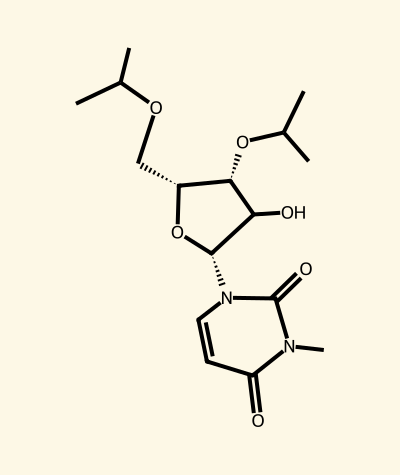 CC(C)OC[C@H]1O[C@@H](n2ccc(=O)n(C)c2=O)C(O)[C@H]1OC(C)C